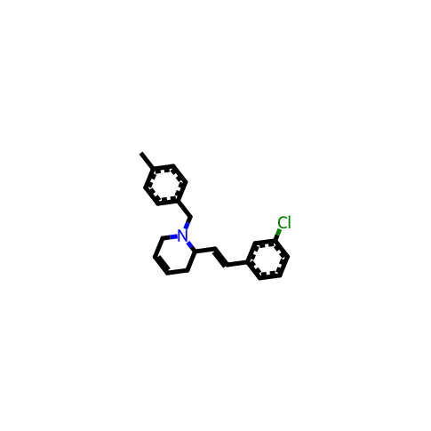 Cc1ccc(CN2CC=CCC2C=Cc2cccc(Cl)c2)cc1